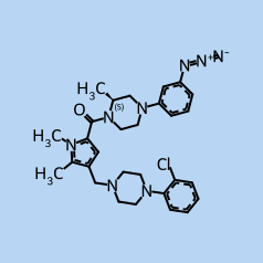 Cc1c(CN2CCN(c3ccccc3Cl)CC2)cc(C(=O)N2CCN(c3cccc(N=[N+]=[N-])c3)C[C@@H]2C)n1C